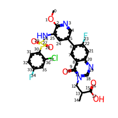 COc1ncc(-c2cc3c(=O)n(CC(C)C(=O)O)cnc3cc2F)cc1NS(=O)(=O)c1ccc(F)cc1Cl